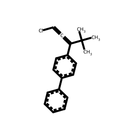 CC(C)(C)C(=C=CCl)c1ccc(-c2ccccc2)cc1